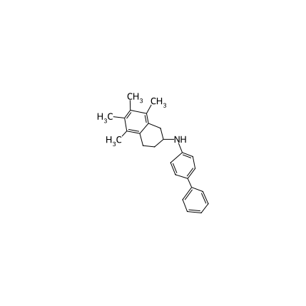 Cc1c(C)c(C)c2c(c1C)CCC(Nc1ccc(-c3ccccc3)cc1)C2